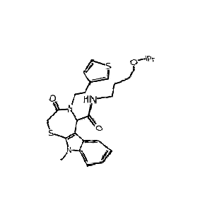 CC(C)OCCCNC(=O)C1c2c(n(C)c3ccccc23)SCC(=O)N1CCc1ccsc1